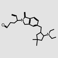 C=CC(CCC=O)N1Cc2cc(CC3CC(C)(C)CC3N(CC)CC)ccc2C1=C